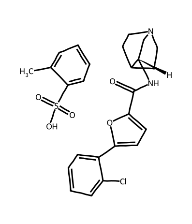 Cc1ccccc1S(=O)(=O)O.O=C(N[C@H]1CN2CCC1CC2)c1ccc(-c2ccccc2Cl)o1